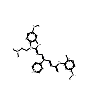 C=C(/C=C/C(=C/C=C1\Oc2cc(OC)ccc2N1CCN(C)C)c1ccncc1)Sc1cc(OC)ccc1C